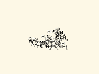 CCC1=CC=C(Cc2nnc(CC34CCC(C(C)C)=C3C3CCC5C(C)(CCC(C)OC(=O)CC(C)(C)C=O)C(C)CCC5(C)C3CC4)o2)C=CC1